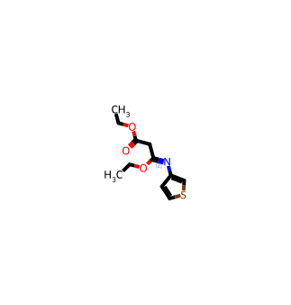 CCOC(=O)C/C(=N/c1ccsc1)OCC